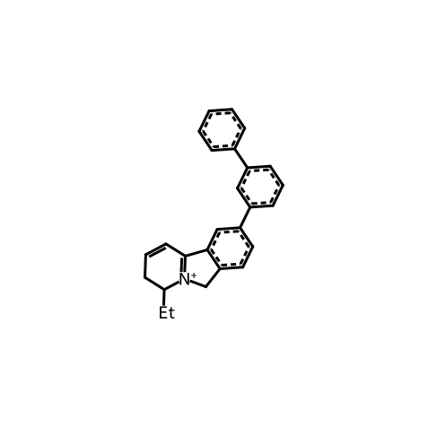 CCC1CC=CC2=[N+]1Cc1ccc(-c3cccc(-c4ccccc4)c3)cc12